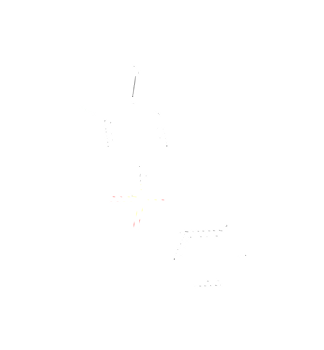 O=[N+]([O-])c1ccc(S(=O)(=O)Oc2ccccc2)cc1Cl